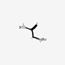 C=C(CCCCC)OC(C)=O